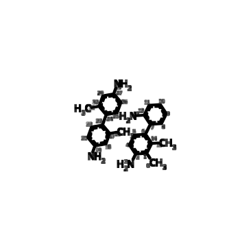 Cc1c(N)ccc(-c2ccccc2N)c1C.Cc1cc(N)ccc1-c1ccc(N)cc1C